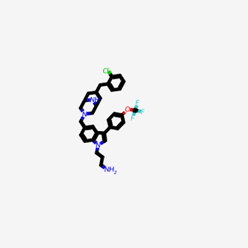 NCCCn1cc(-c2ccc(OC(F)(F)F)cc2)c2cc(CN3CC4CC(Cc5ccccc5Cl)CC(C3)N4)ccc21